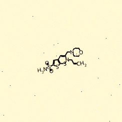 C=CCN1Sc2sc(S(N)(=O)=O)cc2C=C1CN1CCOCC1